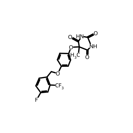 CC1(Oc2ccc(OCc3ccc(F)cc3C(F)(F)F)cc2)C(=O)NC(=O)NC1=O